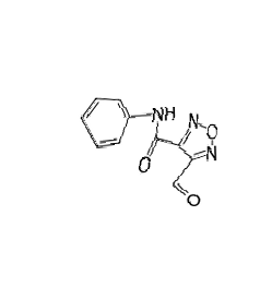 O=Cc1nonc1C(=O)Nc1ccccc1